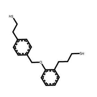 SCCCc1ccccc1OCc1ccc(CCS)cc1